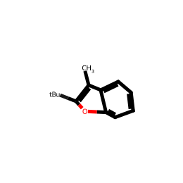 Cc1c(C(C)(C)C)oc2ccccc12